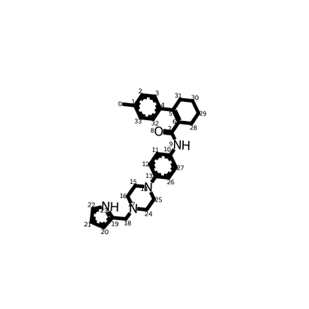 Cc1ccc(C2=C(C(=O)Nc3ccc(N4CCN(Cc5ccc[nH]5)CC4)cc3)CCCC2)cc1